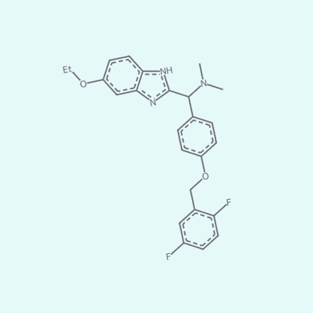 CCOc1ccc2[nH]c(C(c3ccc(OCc4cc(F)ccc4F)cc3)N(C)C)nc2c1